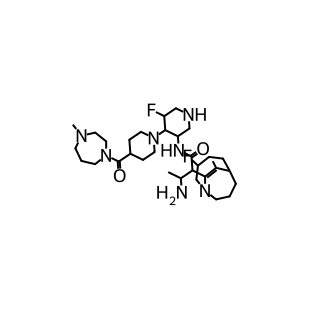 CC1=C(C(C(=O)NC2CNCC(F)C2N2CCC(C(=O)N3CCCN(C)CC3)CC2)C(C)N)N2CCCC1CCC(F)C2